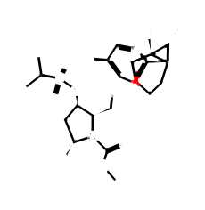 COC(=O)N1[C@H](CO[C@H]2CC[C@]3(c4ncc(F)cn4)[C@H](C2)[C@@H]3C)[C@H](NS(=O)(=O)C(C)C)C[C@@H]1C